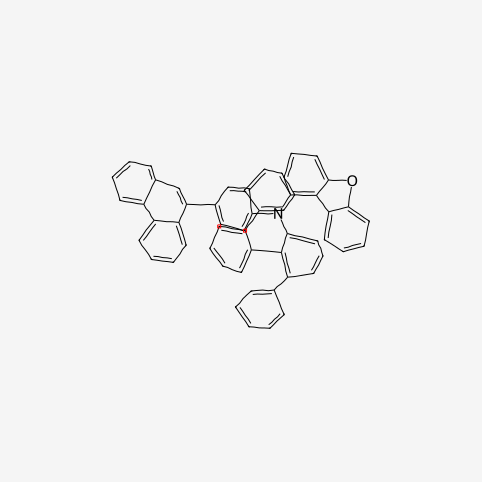 c1ccc(-c2ccccc2-c2c(-c3ccccc3)cccc2N(c2ccc(-c3cc4ccccc4c4ccccc34)cc2)c2cccc3oc4ccccc4c23)cc1